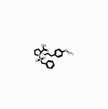 COc1ccc(CCC[C@@]2(C(O)=S)CCCN2S(=O)(=O)Cc2ccccc2)cc1